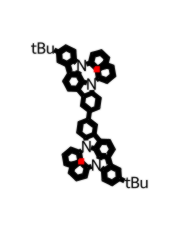 CC(C)(C)c1ccc2c(c1)c1ccc3c(c1n2-c1ccccc1)N(c1ccccc1)C1C=CC(C2=CC4c5ccc6c7cc(C(C)(C)C)ccc7n(-c7ccccc7)c6c5N(c5ccccc5)C4C=C2)=CC31